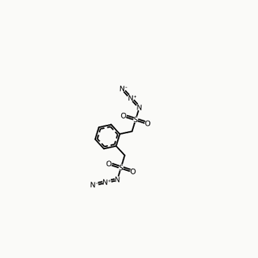 [N-]=[N+]=NS(=O)(=O)Cc1ccccc1CS(=O)(=O)N=[N+]=[N-]